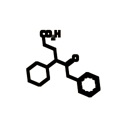 O=C(O)CCC(C(=O)Cc1ccccc1)C1CCCCC1